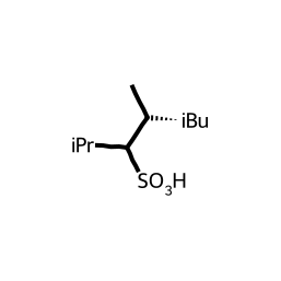 CC[C@@H](C)C(C)C(C(C)C)S(=O)(=O)O